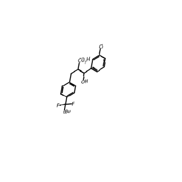 CC(C)(C)C(F)(F)c1ccc(CC(C(=O)O)C(O)c2cccc(Cl)c2)cc1